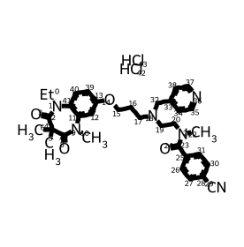 CCN1C(=O)C(C)(C)C(=O)N(C)c2cc(OCCCN(CCN(C)C(=O)c3ccc(C#N)cc3)Cc3ccncc3)ccc21.Cl.Cl